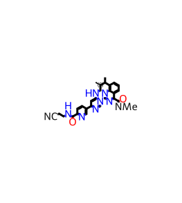 CNC(=O)c1ncnc2c(C(C)[C@H](C)CNc3cc(-c4ccc(C(=O)NCCC#N)nc4)ncn3)cccc12